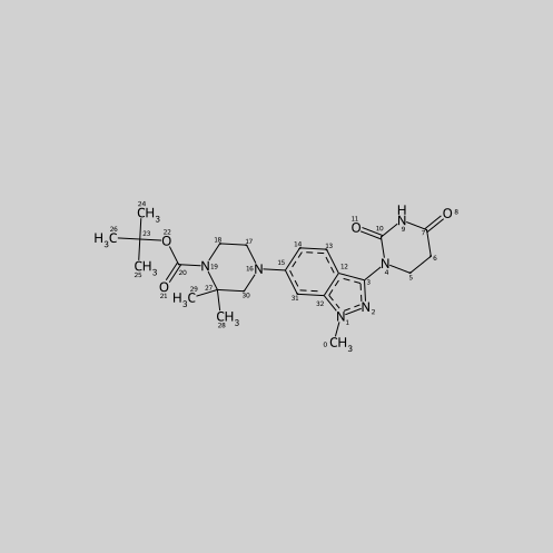 Cn1nc(N2CCC(=O)NC2=O)c2ccc(N3CCN(C(=O)OC(C)(C)C)C(C)(C)C3)cc21